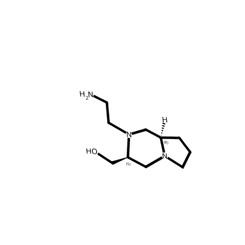 NCCN1C[C@H]2CCCN2C[C@H]1CO